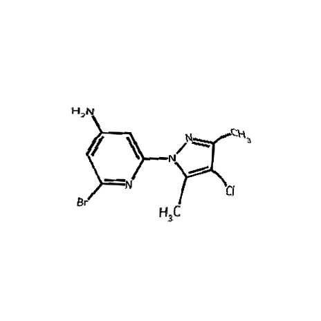 Cc1nn(-c2cc(N)cc(Br)n2)c(C)c1Cl